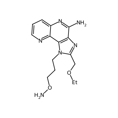 CCOCc1nc2c(N)nc3cccnc3c2n1CCCON